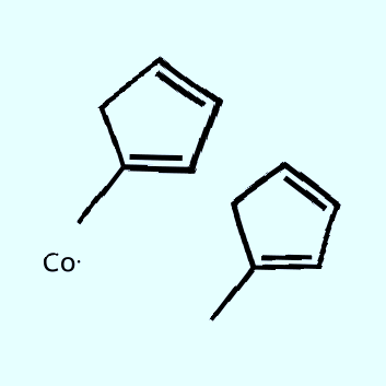 CC1=CC=CC1.CC1=CC=CC1.[Co]